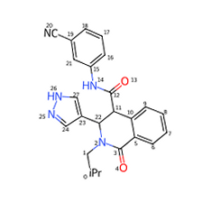 CC(C)CN1C(=O)c2ccccc2C(C(=O)Nc2cccc(C#N)c2)C1c1cn[nH]c1